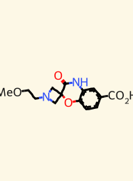 COCCN1CC2(C1)Oc1ccc(C(=O)O)cc1NC2=O